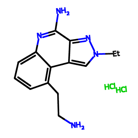 CCn1cc2c(n1)c(N)nc1cccc(CCN)c12.Cl.Cl